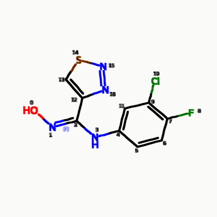 O/N=C(/Nc1ccc(F)c(Cl)c1)c1csnn1